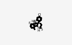 Cc1ccc(F)c(F)c1C1NC(=S)CC[C@]12C(=O)Nc1cc(Cl)ccc12